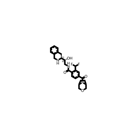 O=C(NC[C@@H](O)[C@@H]1Cc2ccccc2CN1)c1ccc(C(=O)N2C3CCC2COC3)cc1C(F)F